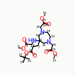 COC(=O)CNC1(CCC(=O)OC(C)(C)C)CN(CC(=O)OC)CCN(CC(=O)OC)C1